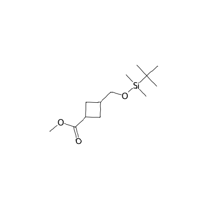 COC(=O)C1CC(CO[Si](C)(C)C(C)(C)C)C1